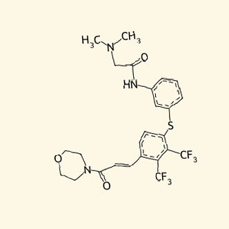 CN(C)CC(=O)Nc1cccc(Sc2ccc(C=CC(=O)N3CCOCC3)c(C(F)(F)F)c2C(F)(F)F)c1